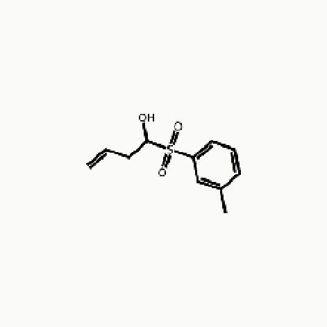 C=CCC(O)S(=O)(=O)c1cccc(C)c1